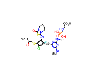 CCNc1nc(NC(C)(C)C)nc(SC)n1.COC(=O)CSc1cc(/N=c2\sc(=O)n3n2CCCC3)c(F)cc1Cl.O=C(O)CNCP(=O)(O)O